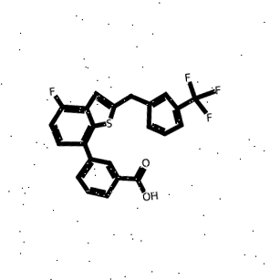 O=C(O)c1cccc(-c2ccc(F)c3cc(Cc4cccc(C(F)(F)F)c4)sc23)c1